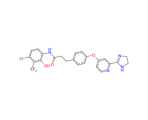 O=C(CCc1ccc(Oc2ccnc(C3=NCCN3)c2)cc1)Nc1ccc(Cl)c(C(F)(F)F)c1O